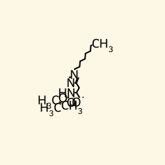 CCCCCCCCn1cnc(CC([C]=O)NC(=O)OC(C)(C)C)c1